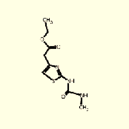 CCOC(=O)Cc1csc(NC(=O)NC)n1